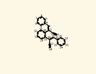 C#CC(=Cc1ccccc1)c1ccccc1C(C#C)=Cc1ccccc1